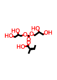 CC=C(C)C(=O)O.O=C(OCC(O)CO)OCC(O)CO